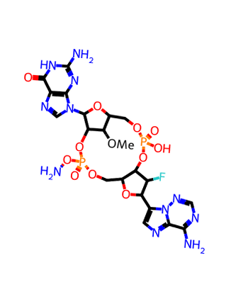 COC1C2COP(=O)(O)OC3C(COP(=O)(ON)OC1C(n1cnc4c(=O)[nH]c(N)nc41)O2)OC(c1cnc2c(N)ncnn12)C3F